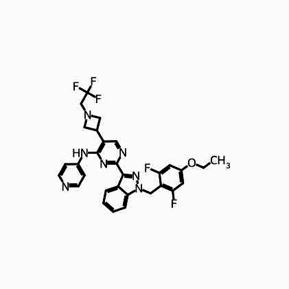 CCOc1cc(F)c(Cn2nc(-c3ncc(C4CN(CC(F)(F)F)C4)c(Nc4ccncc4)n3)c3ccccc32)c(F)c1